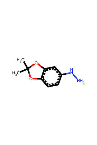 CC1(C)Oc2ccc(NN)cc2O1